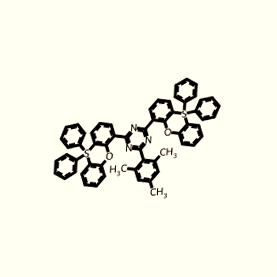 Cc1cc(C)c(-c2nc(-c3cccc4c3Oc3ccccc3S4(c3ccccc3)c3ccccc3)nc(-c3cccc4c3Oc3ccccc3S4(c3ccccc3)c3ccccc3)n2)c(C)c1